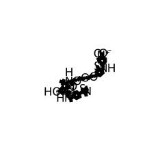 Cc1ncsc1-c1ccc(C(C)NC(=O)[C@@H]2C[C@@H](O)CN2C(=O)C(NC(=O)COCCOCCOc2ccc3c(c2)Sc2cc([N+](=O)[O-])ccc2N3)C(C)(C)C)cc1